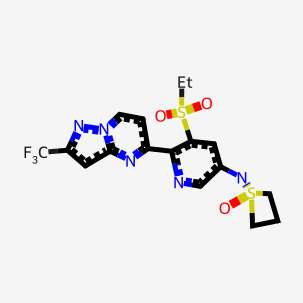 CCS(=O)(=O)c1cc(N=S2(=O)CCC2)cnc1-c1ccn2nc(C(F)(F)F)cc2n1